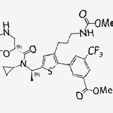 COC(=O)NCCCc1cc([C@@H](C)N(C(=O)[C@H]2CNCCO2)C2CC2)sc1-c1cc(C(=O)OC)cc(C(F)(F)F)c1